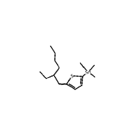 CCCCC(CC)Cc1cc[c]([Sn]([CH3])([CH3])[CH3])s1